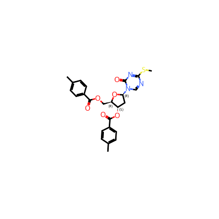 CSc1ncn([C@H]2C[C@H](OC(=O)c3ccc(C)cc3)[C@@H](COC(=O)c3ccc(C)cc3)O2)c(=O)n1